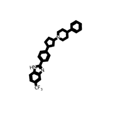 FC(F)(F)c1ccc2[nH]c(-c3ccc(C4CCC(N5CCC(c6ccccc6)CC5)C4)cc3)nc2c1